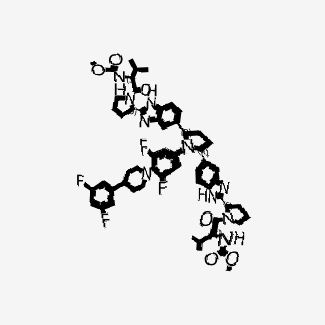 COC(=O)N[C@H](C(=O)N1CCC[C@H]1c1nc2cc([C@H]3CC[C@H](c4ccc5[nH]c([C@@H]6CCCN6C(=O)[C@@H](NC(=O)OC)C(C)C)nc5c4)N3c3cc(F)c(N4CCC(c5cc(F)cc(F)c5)CC4)c(F)c3)ccc2[nH]1)C(C)C